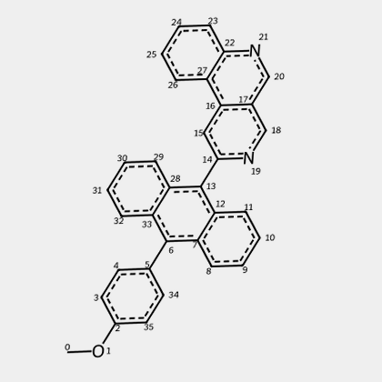 COc1ccc(-c2c3ccccc3c(-c3cc4c(cn3)cnc3ccccc34)c3ccccc23)cc1